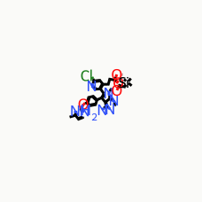 COC(=O)CCc1cc(Cl)ncc1-c1c(-c2ccc(Oc3nccc(C)n3)cc2)c2c(N)ncnc2n1COCC[Si](C)(C)C